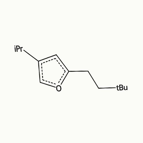 CC(C)c1coc(CCC(C)(C)C)c1